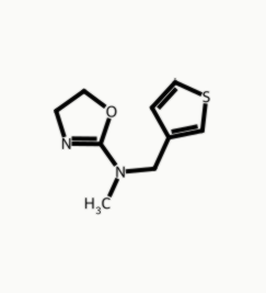 CN(Cc1c[c]sc1)C1=NCCO1